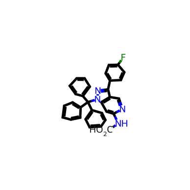 O=C(O)Nc1cc2c(cn1)c(-c1ccc(F)cc1)nn2C(c1ccccc1)(c1ccccc1)c1ccccc1